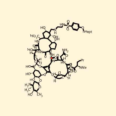 CCCCCCCOc1ccc(S(=O)(=O)NCCNCC2[C@H](O)C3C4C[C@H](CC[C@H]4O)[C@H]4NC(=O)[C@@H]5NC(=O)[C@H](CC(N)=O)NC(=O)[C@H](NC(=O)[C@@H](CC(C)C)NC)[C@H](O)[C@H]6CC[C@@H](Oc7cc5cc(c7O[C@@H]5C[C@H](CO)[C@@H](O)[C@H](O)[C@H]5O[C@H]5C[C@](C)(N)[C@H](O)[C@H](C)O5)O[C@@H]5CC[C@@H](C[C@@H]5Cl)[C@@H](O)[C@H](NC4=O)C(=O)N[C@H](C(=O)O)C3C[C@@H]2O)[C@H](Cl)C6)cc1